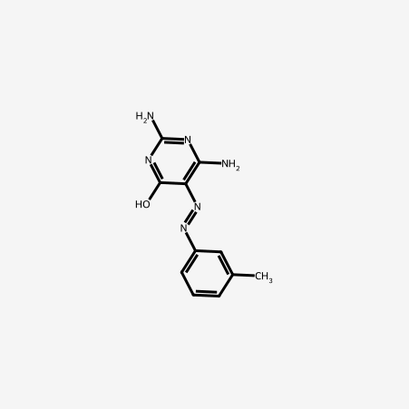 Cc1cccc(N=Nc2c(N)nc(N)nc2O)c1